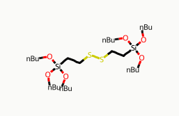 CCCCO[Si](CCSSCC[Si](OCCCC)(OCCCC)OCCCC)(OCCCC)OCCCC